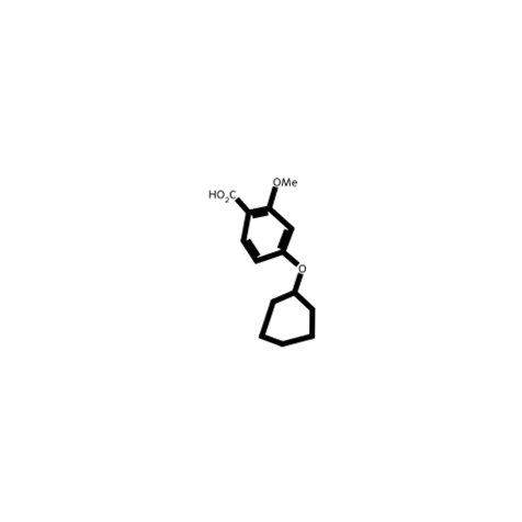 COc1cc(OC2CCCCC2)ccc1C(=O)O